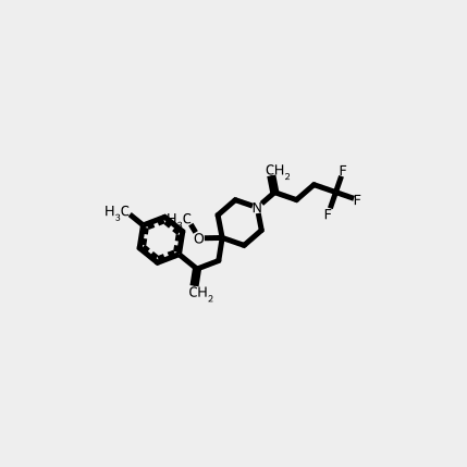 C=C(CC1(OC)CCN(C(=C)CCC(F)(F)F)CC1)c1ccc(C)cc1